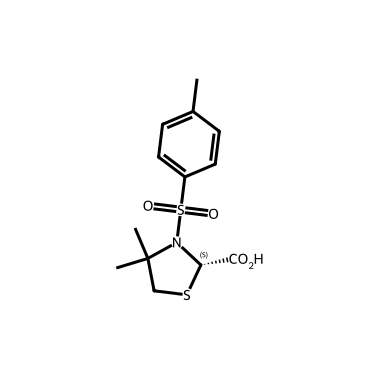 Cc1ccc(S(=O)(=O)N2[C@H](C(=O)O)SCC2(C)C)cc1